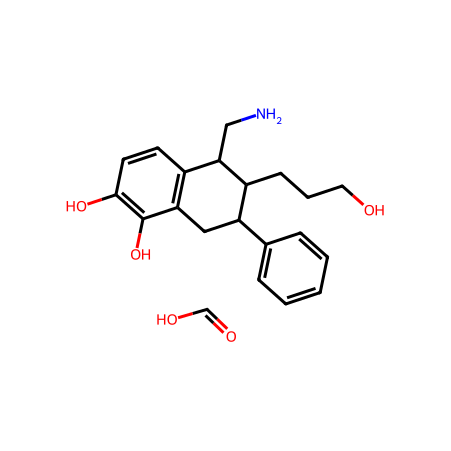 NCC1c2ccc(O)c(O)c2CC(c2ccccc2)C1CCCO.O=CO